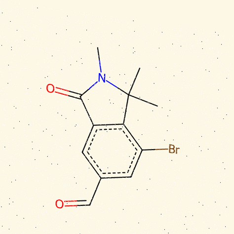 CN1C(=O)c2cc(C=O)cc(Br)c2C1(C)C